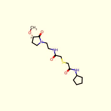 CO[C@H]1CCN(CCNC(=O)CSCC(=O)NC2CCCC2)C1=O